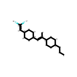 CCCC1CCC(C(C)=CC2CCC(C=C(F)F)CC2)CC1